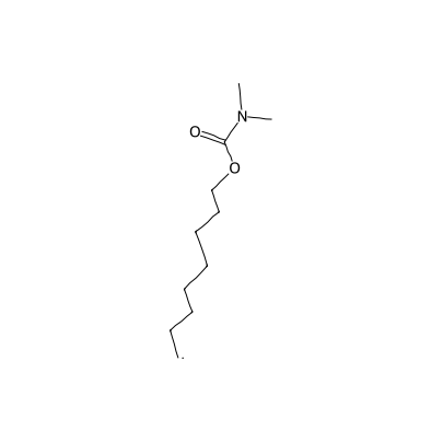 [CH2]CCCCCCCOC(=O)N(C)C